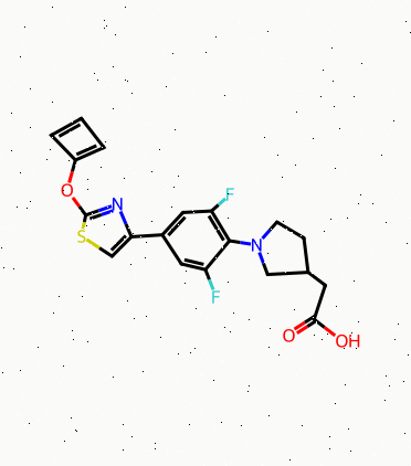 O=C(O)CC1CCN(c2c(F)cc(-c3csc(OC4=CC=C4)n3)cc2F)C1